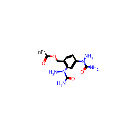 CCCC(=O)OCc1ccc(N(N)C(N)=O)cc1N(N)C(N)=O